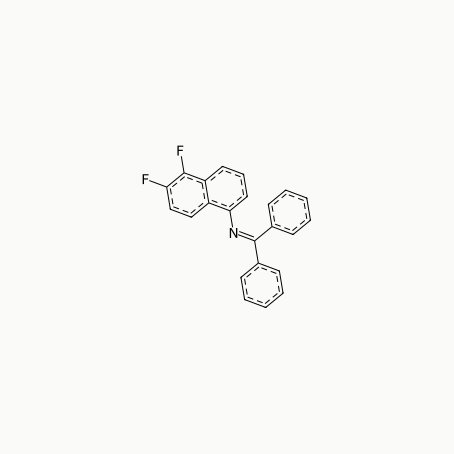 Fc1ccc2c(N=C(c3ccccc3)c3ccccc3)cccc2c1F